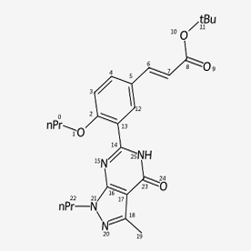 CCCOc1ccc(C=CC(=O)OC(C)(C)C)cc1-c1nc2c(c(C)nn2CCC)c(=O)[nH]1